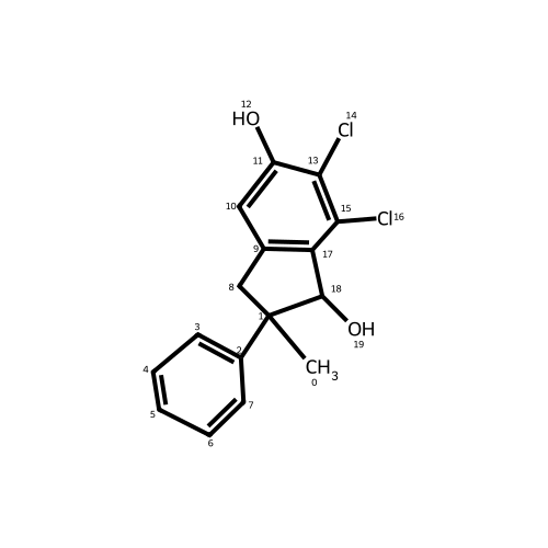 CC1(c2ccccc2)Cc2cc(O)c(Cl)c(Cl)c2C1O